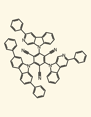 N#Cc1c(-n2c3ccccc3c3cc(-c4ccccc4)ncc32)c(C#N)c(-n2c3cc(-c4ccccc4)ccc3c3ccc(-c4ccccc4)cc32)c(C#N)c1-n1c2ccccc2c2cc(-c3ccccc3)ncc21